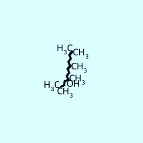 CC(C)=CCC/C(C)=C/CCC(C)(O)CCC(C)C